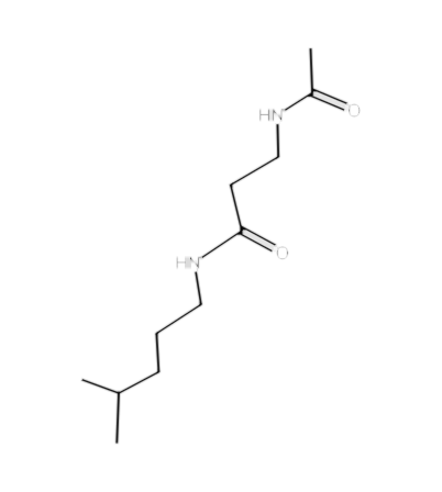 CC(=O)NCCC(=O)NCCCC(C)C